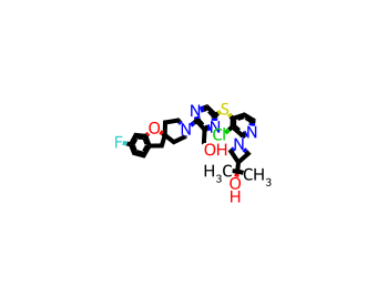 CC(C)(O)C1CN(c2nccc(Sc3cnc(N4CCC5(CC4)Cc4ccc(F)cc4O5)c(CO)n3)c2Cl)C1